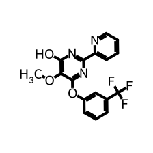 COc1c(O)nc(-c2ccccn2)nc1Oc1cccc(C(F)(F)F)c1